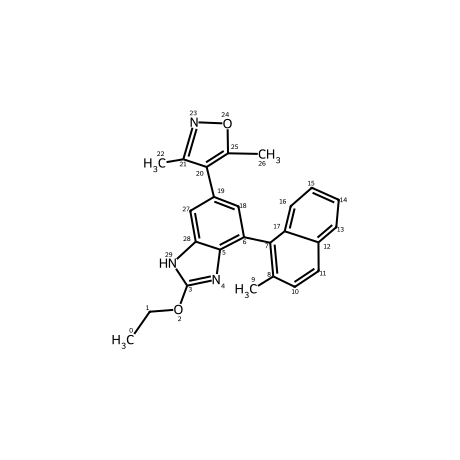 CCOc1nc2c(-c3c(C)ccc4ccccc34)cc(-c3c(C)noc3C)cc2[nH]1